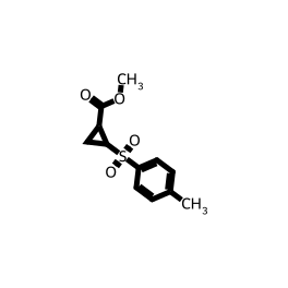 COC(=O)C1CC1S(=O)(=O)c1ccc(C)cc1